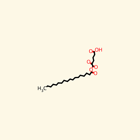 CCCCCCCCCCCCCCCCCC(=O)OC(=O)C(=O)CCCC(=O)O